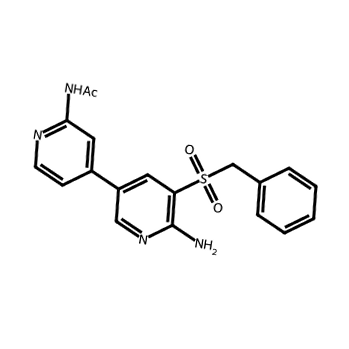 CC(=O)Nc1cc(-c2cnc(N)c(S(=O)(=O)Cc3ccccc3)c2)ccn1